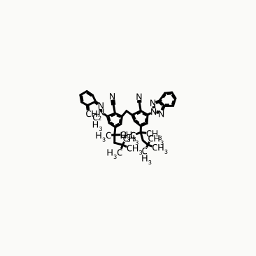 C=C1C=CC=C/C1=N/N(C)c1cc(C(C)(C)CC(C)(C)C)cc(Cc2cc(C(C)(C)CC(C)(C)C)cc(-n3nc4ccccc4n3)c2C#N)c1C#N